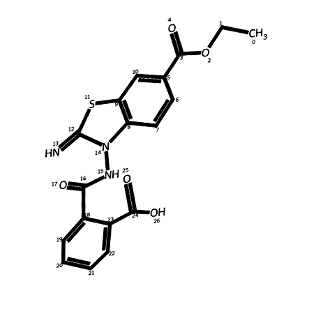 CCOC(=O)c1ccc2c(c1)sc(=N)n2NC(=O)c1ccccc1C(=O)O